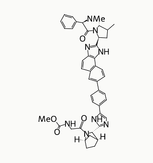 CN[C@@H](C(=O)N1[C@H](C)C(C)C[C@H]1c1nc2ccc3cc(-c4ccc(-c5cnc([C@@H]6[C@H]7CC[C@H](C7)N6C(=O)CNC(=O)OC)[nH]5)cc4)ccc3c2[nH]1)c1ccccc1